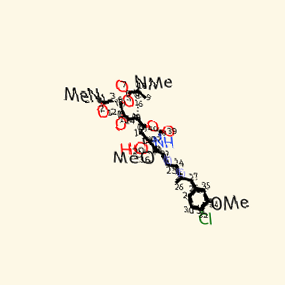 CNC(=O)C[C@H](OC(=O)[C@H](C)NC)[C@]1(C)OC1[C@H](C)[C@@H]1C[C@](O)([C@@H](/C=C/C=C(\C)Cc2ccc(Cl)c(OC)c2)OC)NC(=O)O1